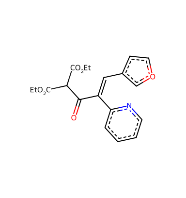 CCOC(=O)C(C(=O)OCC)C(=O)C(=Cc1ccoc1)c1ccccn1